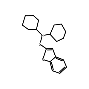 c1ccc2sc(SN(C3CCCCC3)C3CCCCC3)cc2c1